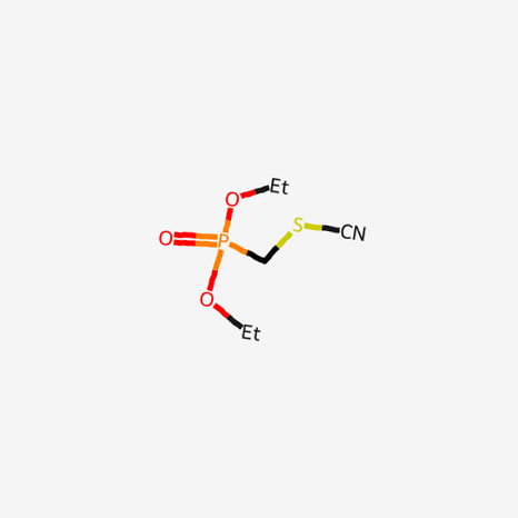 CCOP(=O)(CSC#N)OCC